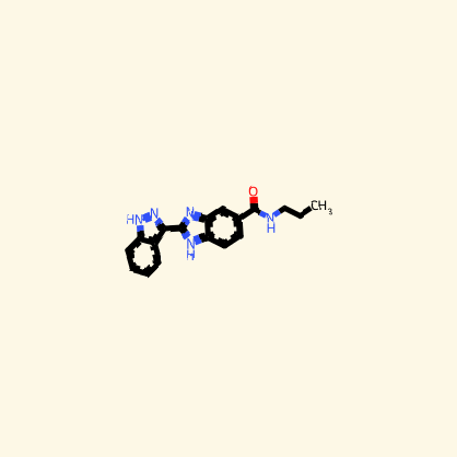 CCCNC(=O)c1ccc2[nH]c(-c3n[nH]c4ccccc34)nc2c1